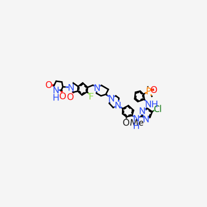 COc1cc(N2CCN(C3CCN(Cc4cc5c(cc4F)C(=O)N(C4CCC(=O)NC4=O)C5)CC3)CC2)ccc1Nc1ncc(Cl)c(Nc2ccccc2P(C)(C)=O)n1